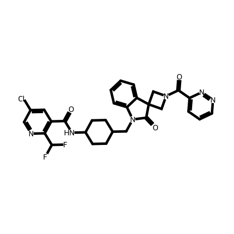 O=C(NC1CCC(CN2C(=O)C3(CN(C(=O)c4cccnn4)C3)c3ccccc32)CC1)c1cc(Cl)cnc1C(F)F